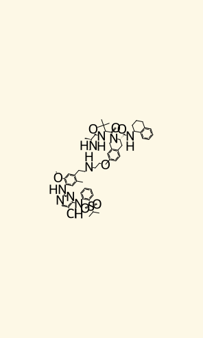 CN[C@@H](C)C(=O)N[C@H](C(=O)N1Cc2cc(OCCNCCc3cc(OC)c(Nc4ncc(Cl)c(Nc5ccccc5S(=O)(=O)C(C)C)n4)cc3C)ccc2C[C@H]1C(=O)N[C@@H]1CCCc2ccccc21)C(C)(C)C